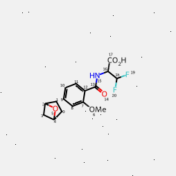 C1CC2CC1O2.COc1ccccc1C(=O)NC(C(=O)O)C(F)F